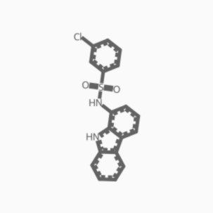 O=S(=O)(Nc1cccc2c1[nH]c1ccccc12)c1cccc(Cl)c1